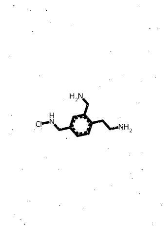 NCCc1ccc(CNCl)cc1CN